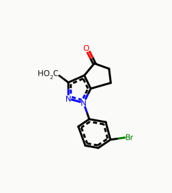 O=C(O)c1nn(-c2cccc(Br)c2)c2c1C(=O)CC2